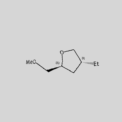 CC[C@H]1CO[C@H](COC)C1